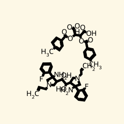 C=CCN1CC(C(O)C(O)C2CN(CC=C)CC2(N)c2ccccc2F)C(N)(c2ccccc2F)C1.Cc1ccc(C(=O)OC(C(=O)O)C(OC(=O)c2ccc(C)cc2)C(=O)O)cc1